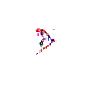 NCCOCCOCCOCCOCCNc1c(NCCCCCCO[C@]2(C(=O)O)C[C@H](O)[C@@H](NC(=O)CO)[C@H]([C@H](O)[C@H](O)CNC(=O)Cc3ccc(C(F)F)cc3)O2)c(=O)c1=O